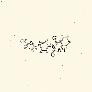 O=c1[nH]c2ccccc2c(=O)n1-c1ccc(-c2ccc(Cl)s2)cc1